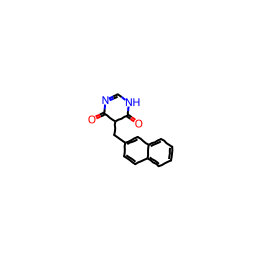 O=C1N=CNC(=O)C1Cc1ccc2ccccc2c1